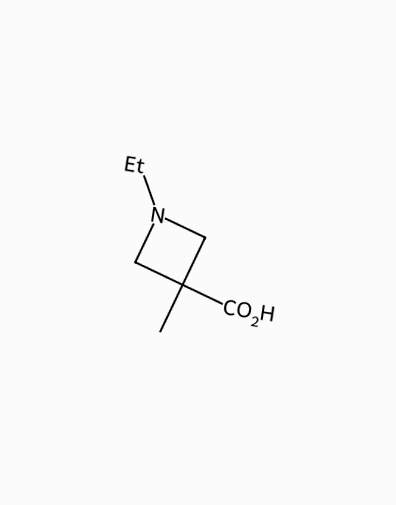 CCN1CC(C)(C(=O)O)C1